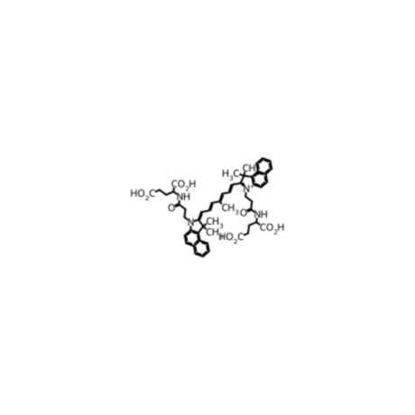 CC(/C=C/C=C1/N(CCC(=O)NC(CCC(=O)O)C(=O)O)c2ccc3ccccc3c2C1(C)C)=C\C=C\C1=[N+](CCC(=O)NC(CCC(=O)O)C(=O)O)c2ccc3ccccc3c2C1(C)C